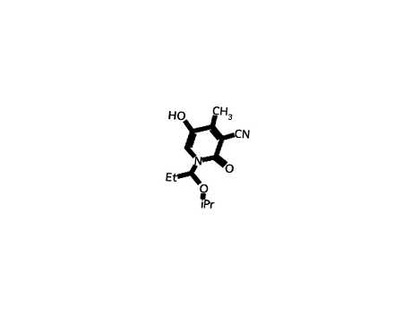 CCC(OC(C)C)n1cc(O)c(C)c(C#N)c1=O